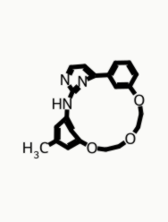 Cc1cc2cc(c1)OCCOCCOc1cccc(c1)-c1ccnc(n1)N2